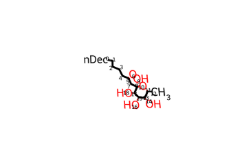 CCCCCCCCCCCCCCC(=O)C[C@@]1(O)O[C@@H](C)[C@@H](O)[C@@H](O)[C@@H]1O